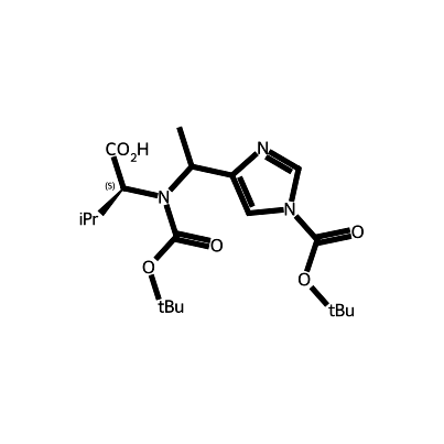 CC(C)[C@@H](C(=O)O)N(C(=O)OC(C)(C)C)C(C)c1cn(C(=O)OC(C)(C)C)cn1